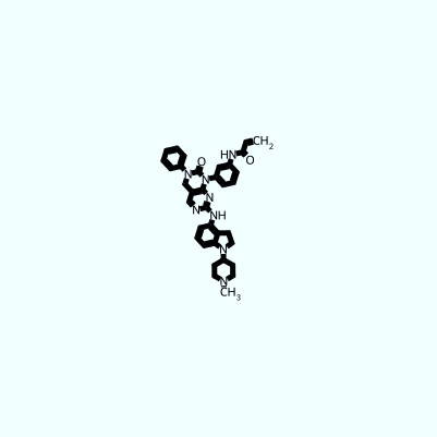 C=CC(=O)Nc1cccc(N2C(=O)N(c3ccccc3)Cc3cnc(Nc4cccc5c4CCN5C4CCN(C)CC4)nc32)c1